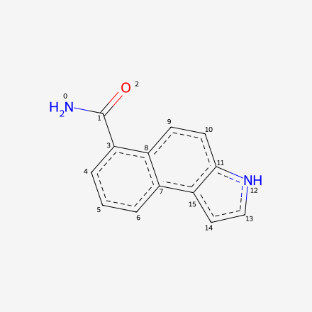 NC(=O)c1cccc2c1ccc1[nH]ccc12